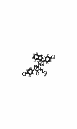 COCCn1c(N2C[C@@]3(CCc4ccccc43)C(c3ccc(Cl)cc3)=N2)nn(-c2ccc(Cl)cc2)c1=O